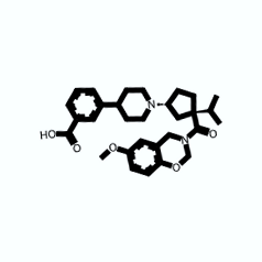 COc1ccc2c(c1)CN(C(=O)[C@@]1(C(C)C)CC[C@@H](N3CCC(c4cccc(C(=O)O)c4)CC3)C1)CO2